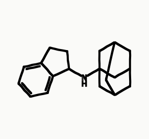 c1ccc2c(c1)CCC2NC12CC3CC(CC(C3)C1)C2